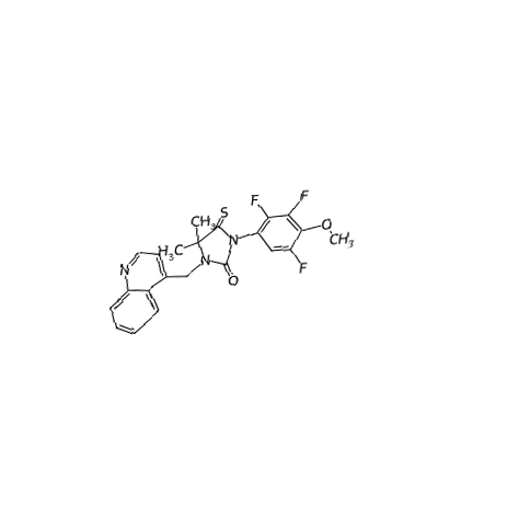 COc1c(F)cc(N2C(=O)N(Cc3ccnc4ccccc34)C(C)(C)C2=S)c(F)c1F